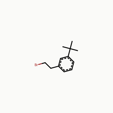 CC(C)(C)c1cccc(CCBr)c1